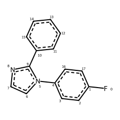 Fc1ccc(-n2ccnc2-c2ccccc2)cc1